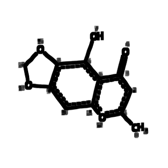 Cc1cc(=O)c2c(O)c3c(cc2o1)OCO3